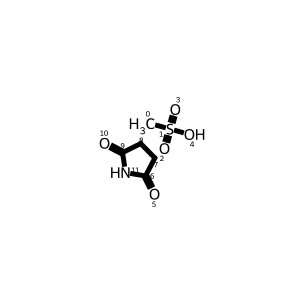 CS(=O)(=O)O.O=C1CCC(=O)N1